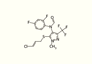 Cn1nc(C(F)(F)F)c(N(C=O)c2ccc(F)cc2F)c1SCC=CCl